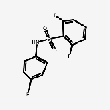 O=S(=O)(Nc1ccc(F)cc1)c1c(F)cccc1F